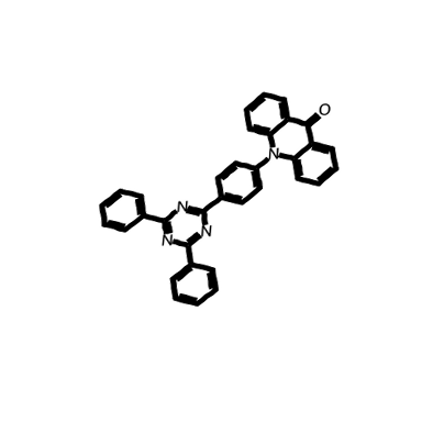 O=c1c2ccccc2n(-c2ccc(-c3nc(-c4ccccc4)nc(-c4ccccc4)n3)cc2)c2ccccc12